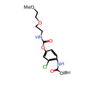 COCCOCCNC(=O)Oc1ccc(NC(=O)OCC(C)C)c(Cl)c1